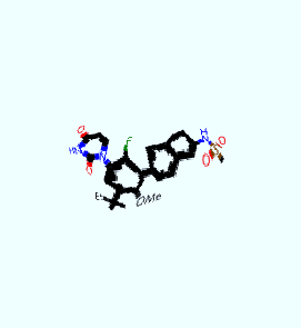 CCC(C)(C)c1cc(-n2ccc(=O)[nH]c2=O)c(F)c(-c2ccc3cc(NS(C)(=O)=O)ccc3c2)c1OC